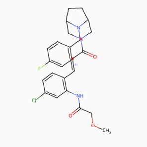 COCC(=O)Nc1cc(Cl)ccc1/C=C/C(=O)N1CC2CCC(C1)N2Cc1ccc(F)cc1